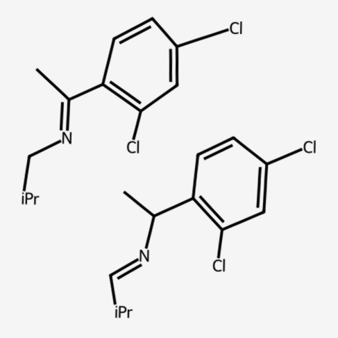 CC(=NCC(C)C)c1ccc(Cl)cc1Cl.CC(C)C=NC(C)c1ccc(Cl)cc1Cl